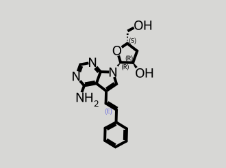 Nc1ncnc2c1c(/C=C/c1ccccc1)cn2[C@@H]1O[C@H](CO)C[C@H]1O